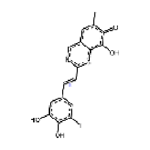 Cc1cc2cnc(/C=C/c3cc(O)c(O)c(I)c3)sc-2c(O)c1=O